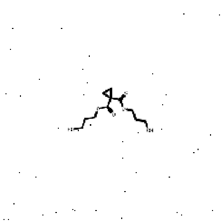 O=C(OCCCO)C1(C(=O)OCCCO)CC1